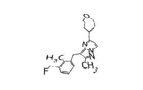 Cc1nn2ccc(C3CCOCC3)nc2c1Cc1cccc(CF)c1C